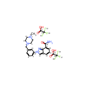 CN1CCN(Cc2cccc(-n3cc4cccc(C(N)=O)c4n3)c2)CC1.O=C(O)C(F)(F)F.O=C(O)C(F)(F)F